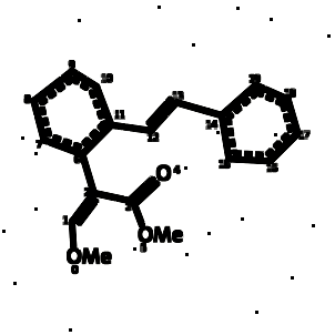 COC=C(C(=O)OC)c1ccccc1C=Cc1ccccc1